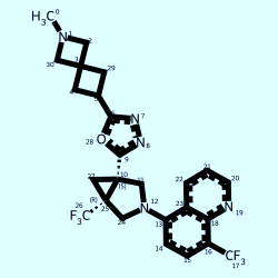 CN1CC2(CC(c3nnc([C@]45CN(c6ccc(C(F)(F)F)c7ncccc67)C[C@@]4(C(F)(F)F)C5)o3)C2)C1